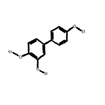 CCOc1ccc(-c2ccc(OCC)c(OCC)c2)cc1